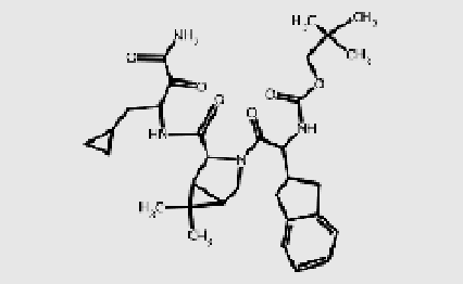 CC(C)(C)COC(=O)NC(C(=O)N1CC2C([C@H]1C(=O)NC(CC1CC1)C(=O)C(N)=O)C2(C)C)C1Cc2ccccc2C1